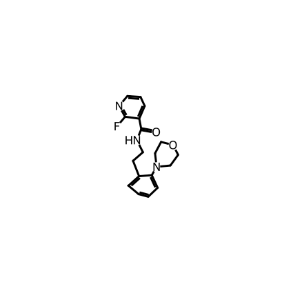 O=C(NCCc1ccccc1N1CCOCC1)c1cccnc1F